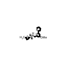 COc1cc(CNS(=O)(=O)c2ccc(C)s2)nc(-c2ccccn2)c1